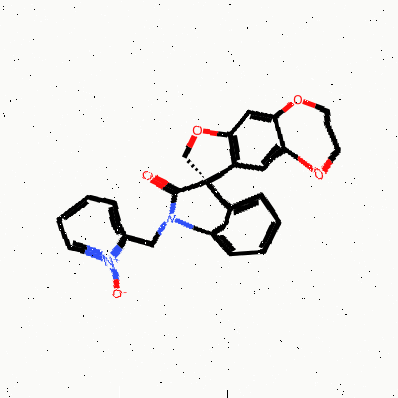 O=C1N(Cc2cccc[n+]2[O-])c2ccccc2[C@@]12COc1cc3c(cc12)OCCO3